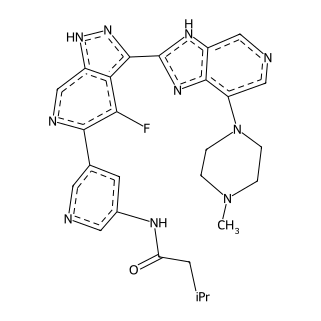 CC(C)CC(=O)Nc1cncc(-c2ncc3[nH]nc(-c4nc5c(N6CCN(C)CC6)cncc5[nH]4)c3c2F)c1